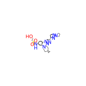 O=S(=O)(CCO)Nc1ccc(-n2cc(-c3ccn(N4CCC4)n3)nn2)c(N2CCC3(CC2)CC3)c1